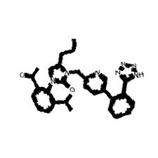 CCCc1cn(-c2c(C(C)=O)cccc2C(C)C)c(=O)n1Cc1ccc(-c2ccccc2-c2nnn[nH]2)cn1